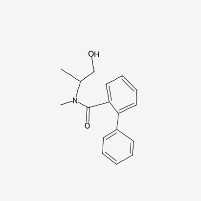 CC(CO)N(C)C(=O)c1ccccc1-c1ccccc1